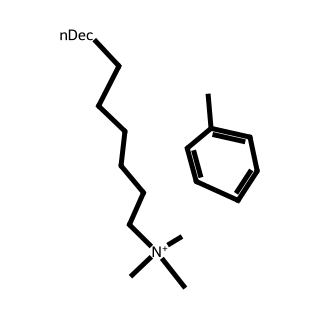 CCCCCCCCCCCCCCCC[N+](C)(C)C.Cc1ccccc1